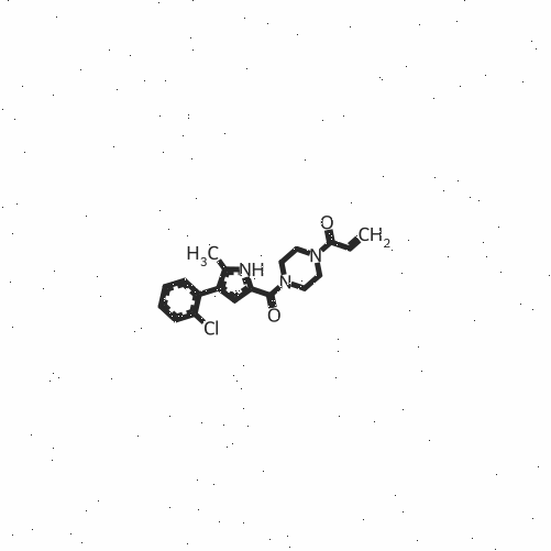 C=CC(=O)N1CCN(C(=O)c2cc(-c3ccccc3Cl)c(C)[nH]2)CC1